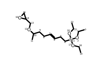 CCO[Si](CCC=CCCC(C)OCC1CO1)(OCC)OCC